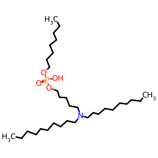 CCCCCCCCCCN(CCCCCCCCCC)CCCCCOP(=O)(O)OCCCCCCCC